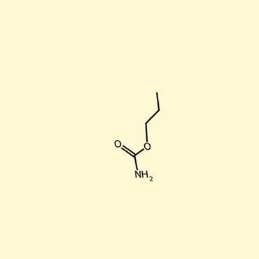 CCCOC(N)=O